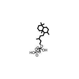 CC(CCOP(=O)(O)OP(=O)(O)O)CCC1C(C)CCC2C(C)(C)CCCC12C